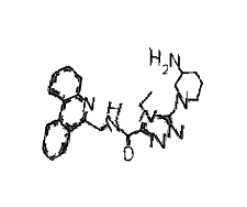 CCn1c(C(=O)NCc2nc3ccccc3c3ccccc23)nnc1N1CCCC(N)C1